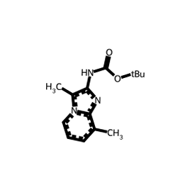 Cc1cccn2c(C)c(NC(=O)OC(C)(C)C)nc12